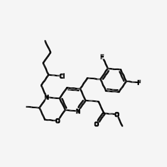 CCCC(Cl)CN1c2cc(Cc3ccc(F)cc3F)c(CC(=O)OC)nc2OCC1C